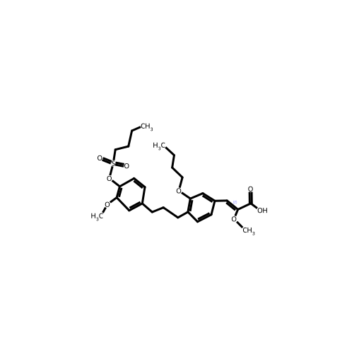 CCCCOc1cc(/C=C(\OC)C(=O)O)ccc1CCCc1ccc(OS(=O)(=O)CCCC)c(OC)c1